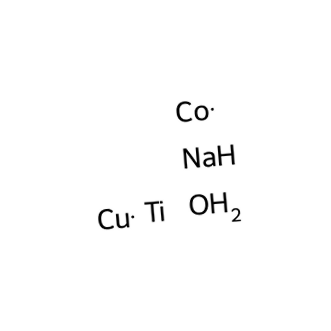 O.[Co].[Cu].[NaH].[Ti]